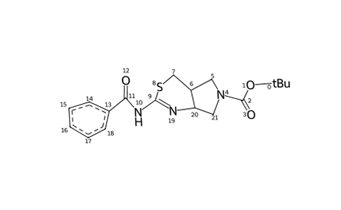 CC(C)(C)OC(=O)N1CC2CSC(NC(=O)c3ccccc3)=NC2C1